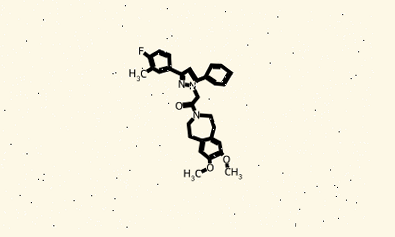 COc1cc2c(cc1OC)CCN(C(=O)Cn1nc(-c3ccc(F)c(C)c3)cc1-c1ccccc1)CC2